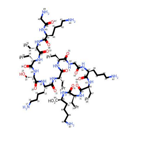 CC(C)C[C@H](NC(=O)[C@H](CC(C)C)NC(=O)[C@H](CCCCN)NC(=O)[C@H](CO)NC(=O)[C@H](CC(C)C)NC(=O)[C@H](CC(C)C)NC(=O)[C@H](CCCCN)NC(=O)CN)C(=O)NCC(=O)N[C@@H](CCCCN)C(=O)N[C@@H](CC(C)C)C(=O)N[C@@H](CC(C)C)C(=O)N[C@@H](CCCCN)C(=O)O